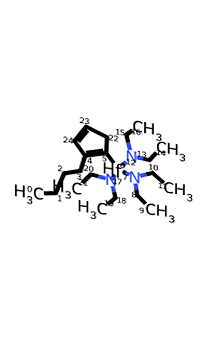 CCCCC1=[C]([Hf]([N](CC)CC)([N](CC)CC)[N](CC)CC)CC=C1